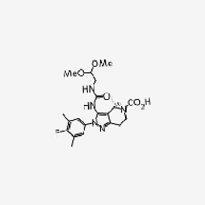 COC(CNC(=O)Nc1c2c(nn1-c1cc(C)c(F)c(C)c1)CCN(C(=O)O)[C@H]2C)OC